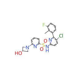 Cc1c(F)cccc1-c1nc(NS(=O)(=O)c2cccc(N3CC(O)C3)n2)ccc1Cl